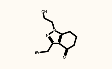 CC(C)Cc1nn(CCO)c2c1C(=O)CCC2